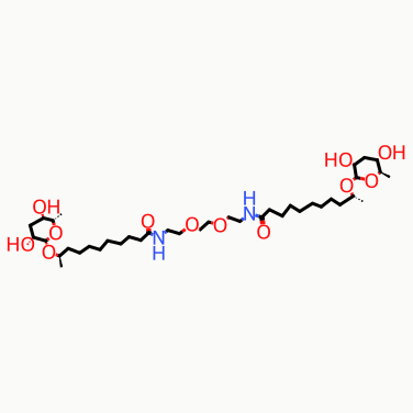 C[C@H](CCCCCCCCC(=O)NCCOCCOCCNC(=O)CCCCCCCC[C@@H](C)O[C@@H]1O[C@@H](C)[C@H](O)C[C@H]1O)OC1O[C@H](C)[C@@H](O)C[C@@H]1O